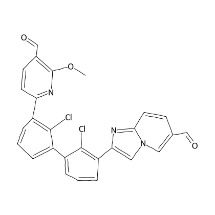 COc1nc(-c2cccc(-c3cccc(-c4cn5cc(C=O)ccc5n4)c3Cl)c2Cl)ccc1C=O